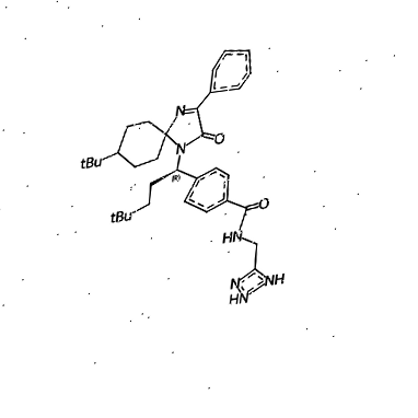 CC(C)(C)CC[C@H](c1ccc(C(=O)NCc2n[nH][nH]2)cc1)N1C(=O)C(c2ccccc2)=NC12CCC(C(C)(C)C)CC2